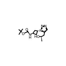 C[C@@H](O)Cc1cnnn1[C@H]1C[C@H](NC(=O)OC(C)(C)C)C1